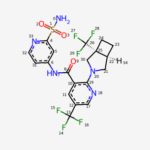 NS(=O)(=O)c1cc(NC(=O)c2cc(C(F)(F)F)cnc2N2C[C@@H]3CC[C@]3(C(F)(F)F)C2)ccn1